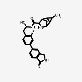 CC1C2C3CC(C(C(=O)N[C@H](C#N)Cc4ccc(-c5ccc6c(c5)CNC6=O)cc4F)N3)C12